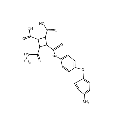 CNC(=O)C1C(C(=O)O)C(C(=O)O)C1C(=O)Nc1ccc(Oc2ccc(C)cc2)cc1